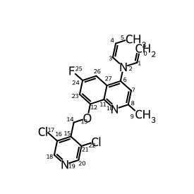 C=CN(/C=C\C)c1cc(C)nc2c(OCc3c(Cl)cncc3Cl)cc(F)cc12